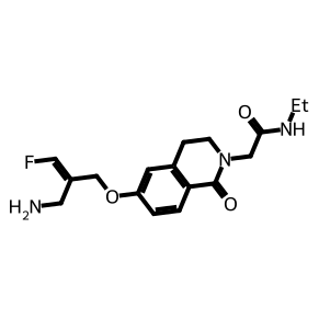 CCNC(=O)CN1CCc2cc(OC/C(=C/F)CN)ccc2C1=O